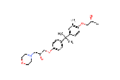 CCC(O)COc1ccc(C(C)(C)c2ccc(OCC(O)CN3CCOCC3)cc2)cc1C